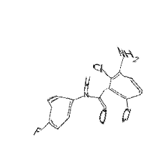 Nc1ccc(Cl)c(C(=O)Nc2ccc(F)cc2)c1Cl